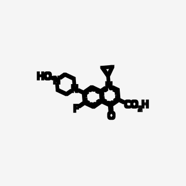 O=C(O)c1cn(C2CC2)c2cc(N3CCN(O)CC3)c(F)cc2c1=O